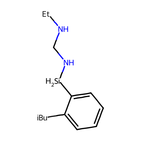 CCNCN[SiH2]c1ccccc1C(C)CC